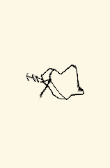 CC1(C)C2CCC1NC2